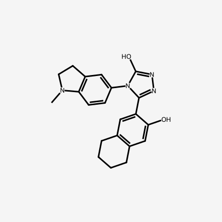 CN1CCc2cc(-n3c(O)nnc3-c3cc4c(cc3O)CCCC4)ccc21